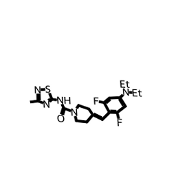 CCN(CC)c1cc(F)c(C=C2CCN(C(=O)Nc3nc(C)ns3)CC2)c(F)c1